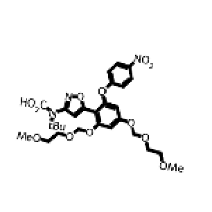 COCCOCOc1cc(OCOCCOC)c(-c2cc(N(C(=O)O)C(C)(C)C)no2)c(Oc2ccc([N+](=O)[O-])cc2)c1